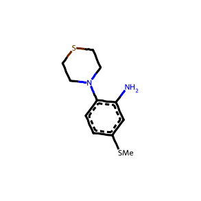 CSc1ccc(N2CCSCC2)c(N)c1